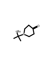 CCCCC(C)(C)N1CCC(=O)CC1